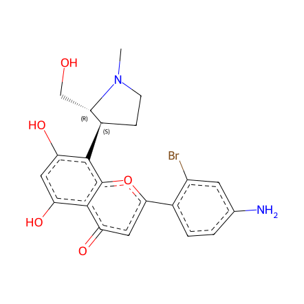 CN1CC[C@@H](c2c(O)cc(O)c3c(=O)cc(-c4ccc(N)cc4Br)oc23)[C@@H]1CO